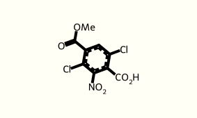 COC(=O)c1cc(Cl)c(C(=O)O)c([N+](=O)[O-])c1Cl